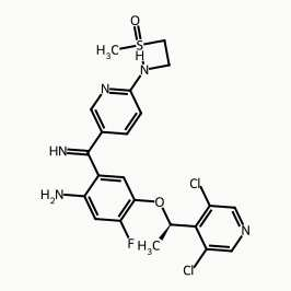 C[C@@H](Oc1cc(C(=N)c2ccc(N3CC[SH]3(C)=O)nc2)c(N)cc1F)c1c(Cl)cncc1Cl